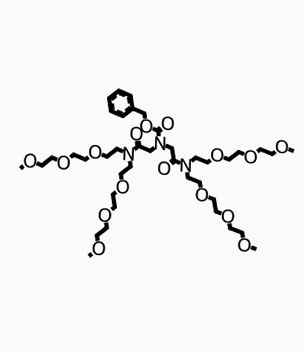 COCCOCCOCCN(CCOCCOCCOC)C(=O)CN(CC(=O)N(CCOCCOCCOC)CCOCCOCCOC)C(=O)OCc1ccccc1